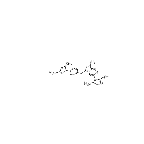 Cc1cnn(C(C)C)c1-c1ncc2c(n1)c(Cc1ccc(-c3nc(C(F)(F)F)cn3C)cc1)cn2C